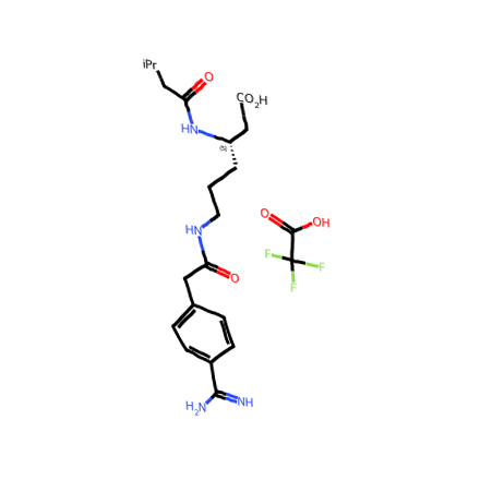 CC(C)CC(=O)N[C@@H](CCCNC(=O)Cc1ccc(C(=N)N)cc1)CC(=O)O.O=C(O)C(F)(F)F